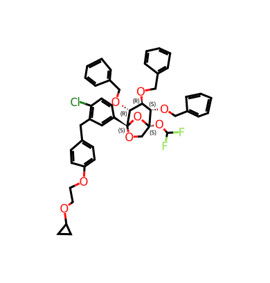 FC(F)O[C@]12CO[C@@](c3ccc(Cl)c(Cc4ccc(OCCOC5CC5)cc4)c3)(O1)[C@H](OCc1ccccc1)[C@@H](OCc1ccccc1)[C@@H]2OCc1ccccc1